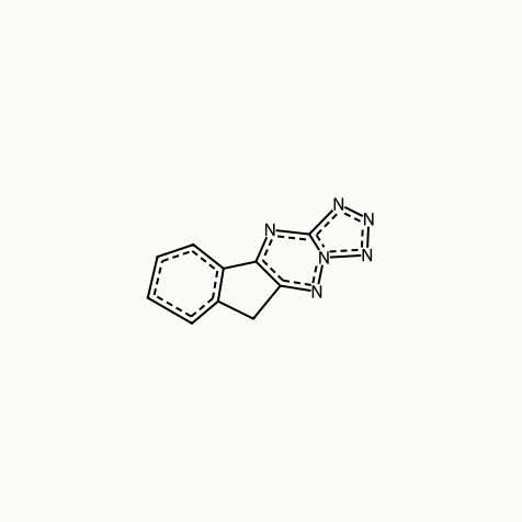 c1ccc2c(c1)Cc1nn3nnnc3nc1-2